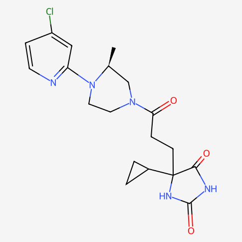 C[C@H]1CN(C(=O)CCC2(C3CC3)NC(=O)NC2=O)CCN1c1cc(Cl)ccn1